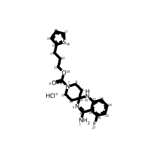 Cl.NC1=NC2(CCN(C(=O)OCCCc3cccs3)CC2)Nc2cccc(F)c21